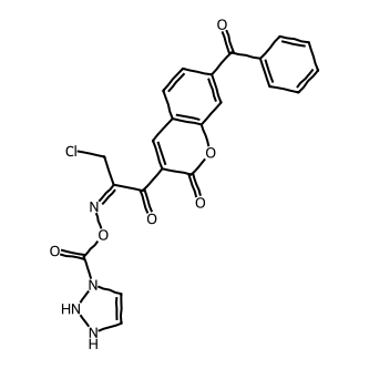 O=C(c1ccccc1)c1ccc2cc(C(=O)/C(CCl)=N\OC(=O)N3C=CNN3)c(=O)oc2c1